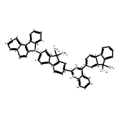 CC1(C)c2ccccc2-c2ccc(-c3nc(-c4ccc5c(c4)C(C)(C)c4cc(-n6c7ccccc7c7c8ccccc8ccc76)ccc4-5)nc4ccccc34)cc21